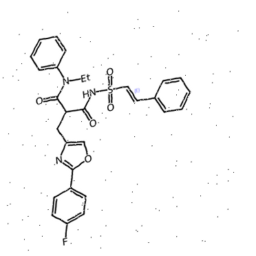 CCN(C(=O)C(Cc1coc(-c2ccc(F)cc2)n1)C(=O)NS(=O)(=O)/C=C/c1ccccc1)c1ccccc1